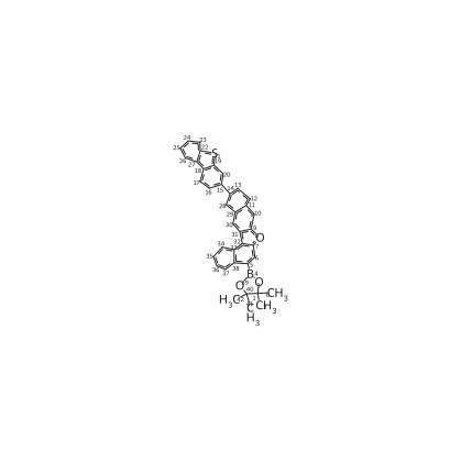 CC1(C)OB(c2cc3oc4cc5ccc(-c6ccc7c(c6)sc6ccccc67)cc5cc4c3c3ccccc23)OC1(C)C